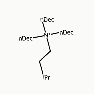 CCCCCCCCCC[N+](CCCCCCCCCC)(CCCCCCCCCC)CCC(C)C